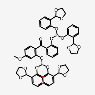 COc1ccc(C(=O)c2ccccc2OP(Oc2ccccc2C2OCCO2)Oc2ccccc2C2OCCO2)c(OP(Oc2ccccc2C2OCCO2)Oc2ccccc2C2OCCO2)c1